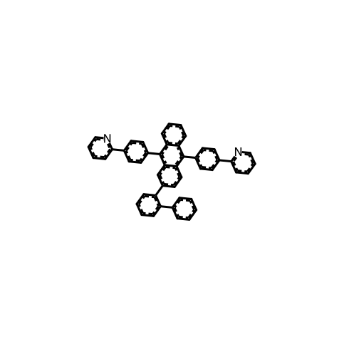 c1ccc(-c2ccccc2-c2ccc3c(-c4ccc(-c5ccccn5)cc4)c4ccccc4c(-c4ccc(-c5ccccn5)cc4)c3c2)cc1